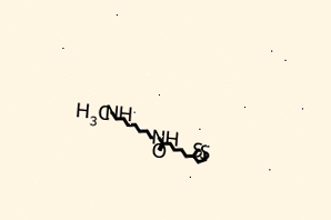 CNCCCCCCCNC(=O)CCCCC1CCSS1